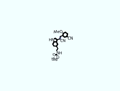 COc1ccc(C#N)cc1/C=C(\C#N)c1c[nH]c2ccc(CCNC(=O)OC(C)(C)C)cc12